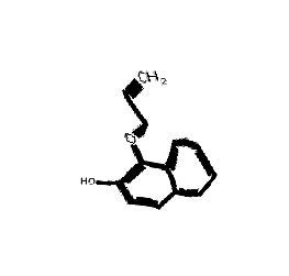 C=CCOc1c(O)ccc2ccccc12